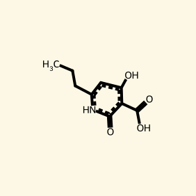 CCCc1cc(O)c(C(=O)O)c(=O)[nH]1